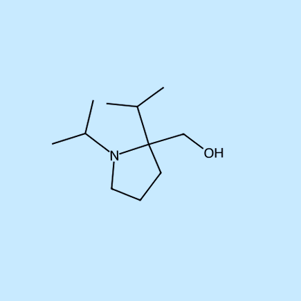 CC(C)N1CCCC1(CO)C(C)C